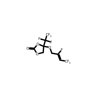 O=C1OCC(OCC(F)=CC(F)(F)F)(C(F)(F)C(F)(F)F)O1